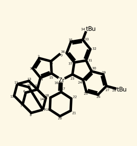 CC1C=CC(C23CC4CC(CC(C4)C2)C3)=[C]1[Zr](=[C]1CCCCC1)[CH]1c2ccc(C(C)(C)C)cc2-c2cc(C(C)(C)C)ccc21